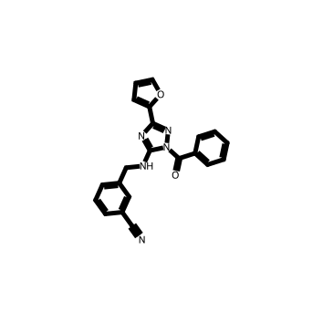 N#Cc1cccc(CNc2nc(-c3ccco3)nn2C(=O)c2ccccc2)c1